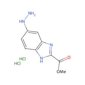 COC(=O)c1nc2cc(NN)ccc2[nH]1.Cl.Cl